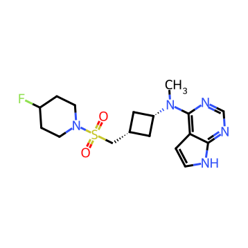 CN(c1ncnc2[nH]ccc12)[C@H]1C[C@@H](CS(=O)(=O)N2CCC(F)CC2)C1